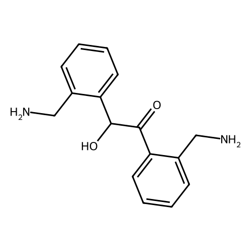 NCc1ccccc1C(=O)C(O)c1ccccc1CN